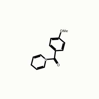 COc1ccc(C(=O)N2C=CCC=C2)cc1